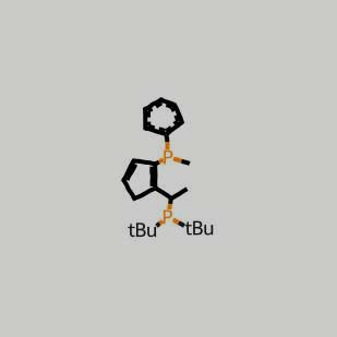 CC(C1=C(P(C)c2ccccc2)C=CC1)P(C(C)(C)C)C(C)(C)C